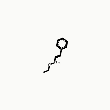 CCO[SiH2]/C=C/c1ccccc1